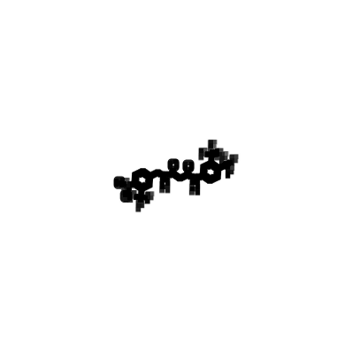 O=C(CC(=O)Nc1ccc(C(F)(F)F)c(C(F)(F)F)c1)NCc1ccc([N+](=O)[O-])c(C(F)(F)F)c1